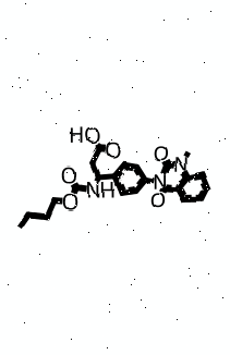 CCCCOC(=O)NC(CC(=O)O)c1ccc(-n2c(=O)c3ccccc3n(C)c2=O)cc1